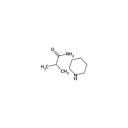 C1CCNCC1.CC(C)C(N)=O